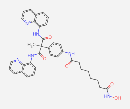 CC(C(=O)Nc1cccc2cccnc12)(C(=O)Nc1cccc2cccnc12)c1ccc(NC(=O)CCCCCCC(=O)NO)cc1